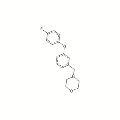 Fc1ccc(Oc2[c]ccc(CN3CCOCC3)c2)cc1